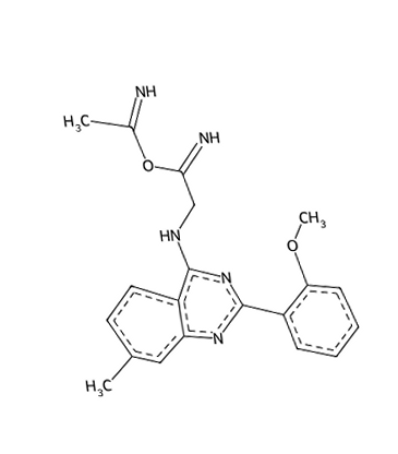 COc1ccccc1-c1nc(NCC(=N)OC(C)=N)c2ccc(C)cc2n1